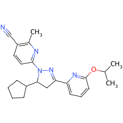 Cc1nc(N2N=C(c3cccc(OC(C)C)n3)CC2C2CCCC2)ccc1C#N